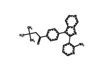 CC(C)(C)CC(=O)c1ccc(-n2c(-c3cccnc3N)nc3cnccc32)cc1